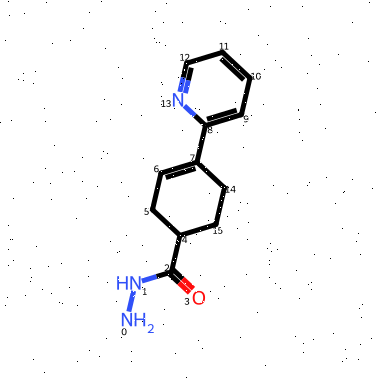 NNC(=O)C1CC=C(c2ccccn2)CC1